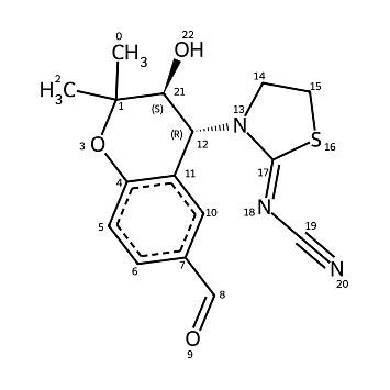 CC1(C)Oc2ccc(C=O)cc2[C@@H](N2CCSC2=NC#N)[C@@H]1O